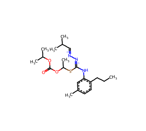 CCCc1ccc(C)cc1N/C(=N/N=C/C(C)C)SC(C)OC(=O)OC(C)C